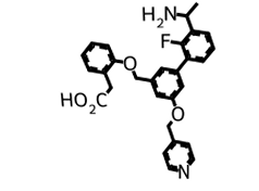 CC(N)c1cccc(-c2cc(COc3ccccc3CC(=O)O)cc(OCc3ccncc3)c2)c1F